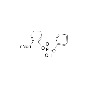 CCCCCCCCCc1ccccc1OP(=O)(O)Oc1ccccc1